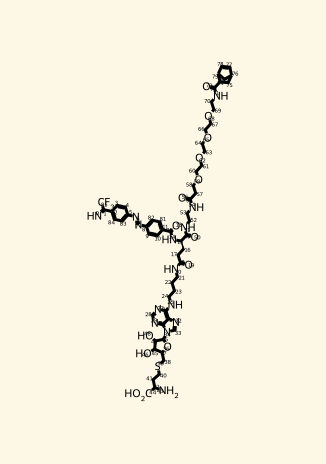 N=C(c1ccc(/N=N/c2ccc(C(=O)N[C@H](CCC(=O)NCCCCNc3ncnc4c3ncn4C3OC(CSCCC(N)C(=O)O)C(O)C3O)C(=O)NCCNC(=O)CCOCCOCCOCCOCCNC(=O)C3CC4C=CC3C4)cc2)cc1)C(F)(F)F